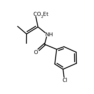 CCOC(=O)C(NC(=O)c1cccc(Cl)c1)=C(C)C